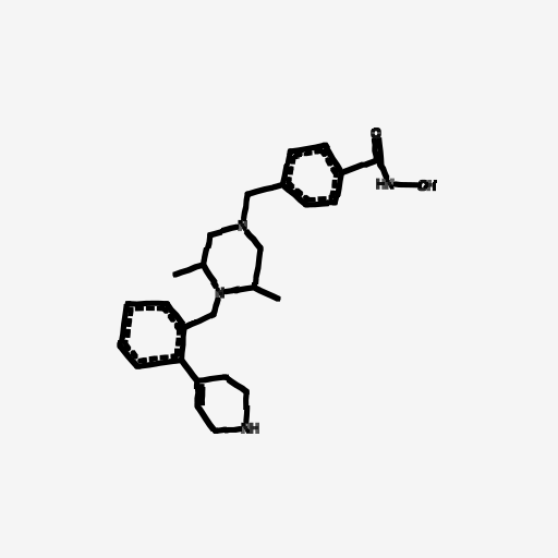 CC1CN(Cc2ccc(C(=O)NO)cc2)CC(C)N1Cc1ccccc1C1=CCNCC1